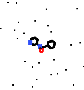 c1ccc(C2ON2c2cccnc2)cc1